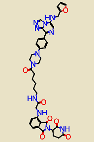 O=C(CNc1cccc2c1C(=O)N(C1CCC(=O)NC1=O)C2=O)NCCCCCC(=O)N1CCN(c2ccc(-c3ncc(NCc4ccco4)n4cnnc34)cc2)CC1